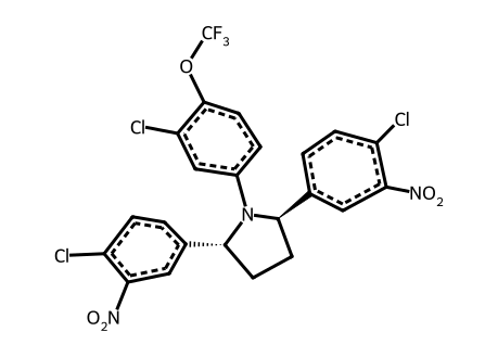 O=[N+]([O-])c1cc([C@H]2CC[C@H](c3ccc(Cl)c([N+](=O)[O-])c3)N2c2ccc(OC(F)(F)F)c(Cl)c2)ccc1Cl